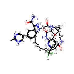 Cc1ncc(-c2cc3c4c(c2)c(C(N)=O)nn4CC(=O)N2C4[C@H](C)[C@]4(CNC(=O)CCCCCC3)C[C@H]2C(=O)Nc2nc(C(F)(F)F)ccc2C)cn1